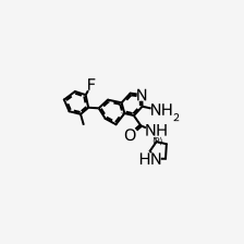 Cc1cccc(F)c1-c1ccc2c(C(=O)N[C@@H]3CCNC3)c(N)ncc2c1